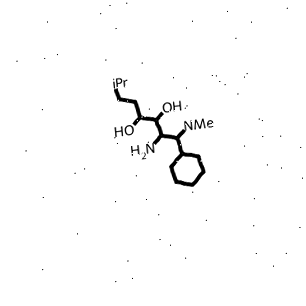 CNC(C1CCCCC1)C(N)C(O)C(O)CCC(C)C